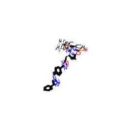 CC(C)(C)OC(=O)N=C(N1CCC[C@H]1Cc1nc(-c2ccc(Cn3cc(-c4ccccc4)nn3)cc2)no1)N(C(=O)O)C(C)(C)C